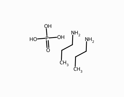 CCCN.CCCN.O=P(O)(O)O